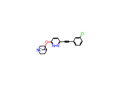 Clc1cccc(C#Cc2ccc(OC3CN4CCC3CC4)nn2)c1